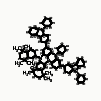 CC1(C)CCC(C)(C)c2cc(N3c4cc5c(cc4B4c6ccc(-c7ccc8c(c7)c7ccccc7n8-c7ccccc7)cc6N(c6ccccc6)c6cc(-c7ccc8c(c7)c7ccccc7n8-c7ccccc7)cc3c64)C(C)(C)CCC5(C)C)ccc21